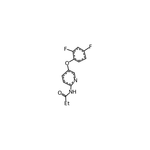 CCC(=O)Nc1ccc(Oc2ccc(F)cc2F)cn1